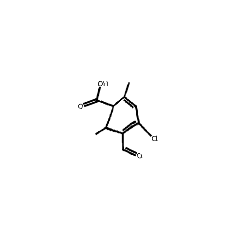 CC1=CC(Cl)=C(C=O)C(C)C1C(=O)O